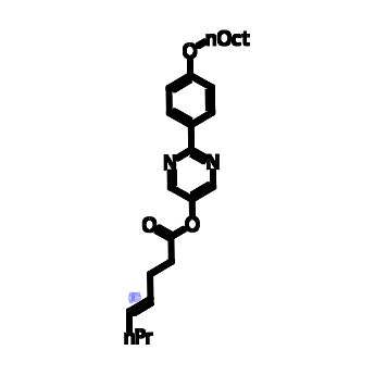 CCC/C=C/CCC(=O)Oc1cnc(-c2ccc(OCCCCCCCC)cc2)nc1